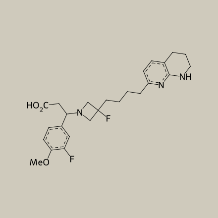 COc1ccc(C(CC(=O)O)N2CC(F)(CCCCc3ccc4c(n3)NCCC4)C2)cc1F